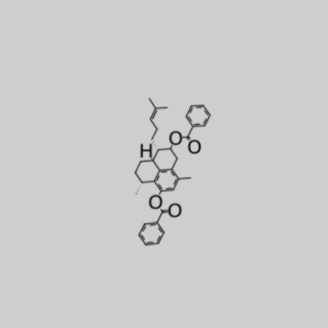 CC(C)=CCC[C@@H]1C(OC(=O)c2ccccc2)Cc2c(C)cc(OC(=O)c3ccccc3)c3c2[C@H]1CC[C@H]3C